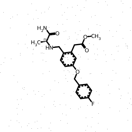 COC(=O)Cc1cc(OCc2ccc(F)cc2)ccc1CN[C@@H](C)C(N)=O